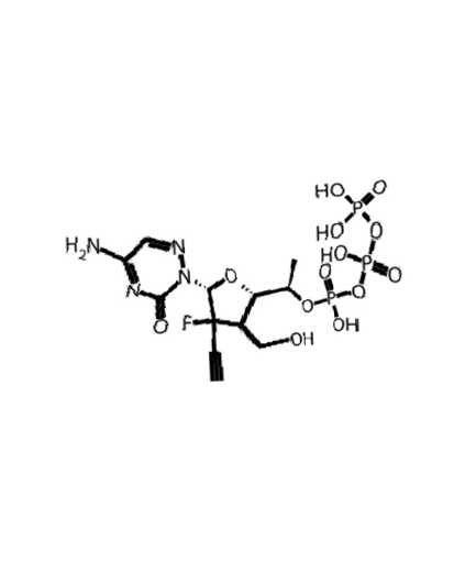 C#CC1(F)C(CO)[C@@H]([C@@H](C)OP(=O)(O)OP(=O)(O)OP(=O)(O)O)O[C@H]1n1ncc(N)nc1=O